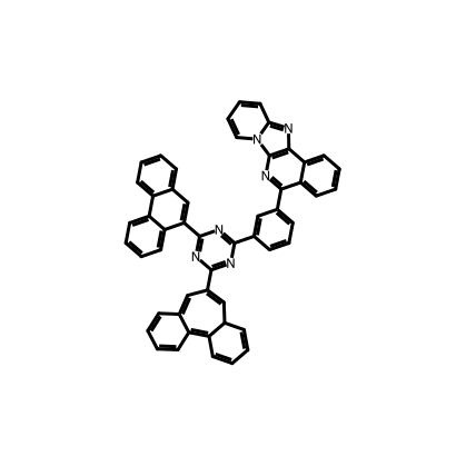 C1=CC2=c3ccccc3=CC(c3nc(-c4cccc(-c5nc6c(nc7ccccn76)c6ccccc56)c4)nc(-c4cc5ccccc5c5ccccc45)n3)=CC2C=C1